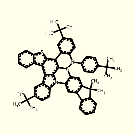 CC(C)(C)c1ccc(N2B3c4cc5c(cc4-n4c6ccc(C(C)(C)C)cc6c6c7c(sc8ccccc87)c(c3c64)-c3cc(C(C)(C)C)ccc32)-c2ccccc2C5(C)C)cc1